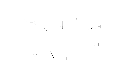 C[C@@H]1OC(N[C@H]2C=C(CO)[C@@H](O)[C@H](O)[C@H]2O)=NC(O)(CO)[C@@H](O)C1O